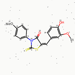 CCOc1cc(C=C2SC(=S)N(c3ccc(OC)cc3)C2=O)ccc1O